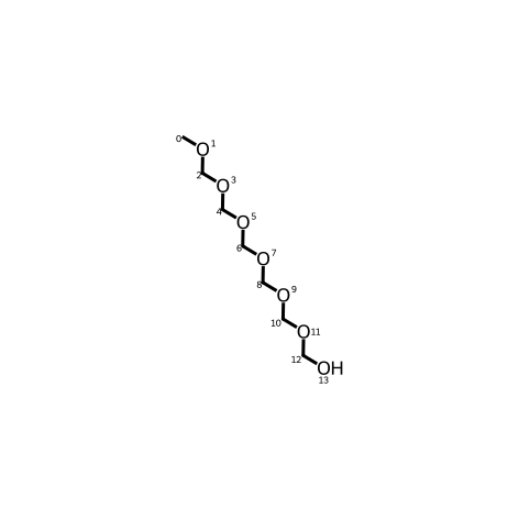 COCOCOCOCOCOCO